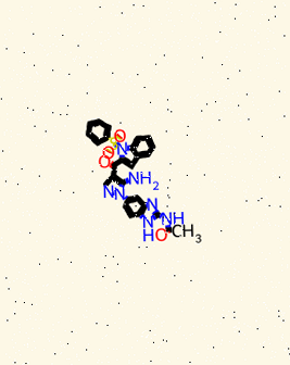 CC(=O)Nc1nc2cc(-n3ncc(C(=O)c4cc5ccccc5n4S(=O)(=O)c4ccccc4)c3N)ccc2[nH]1